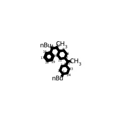 CCCCC1CCC(C(C)C2CCC(C(C)C(CCCC)c3ccccc3)CC2)CC1